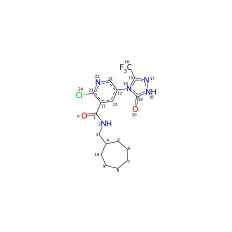 O=C(NCC1CCCCCC1)c1cc(-n2c(C(F)(F)F)n[nH]c2=O)cnc1Cl